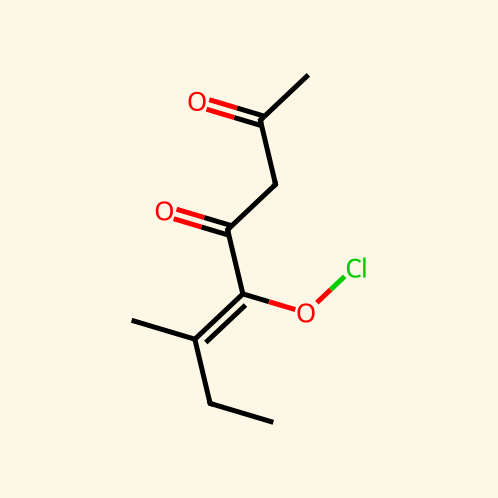 CCC(C)=C(OCl)C(=O)CC(C)=O